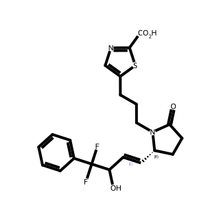 O=C(O)c1ncc(CCCN2C(=O)CC[C@@H]2/C=C/C(O)C(F)(F)c2ccccc2)s1